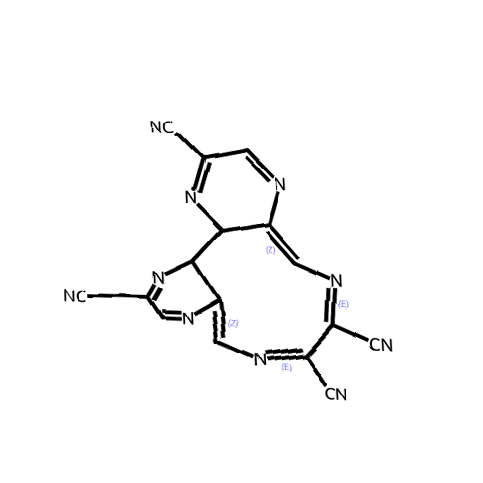 N#CC1=NC2/C(=C/N=C(C#N)\C(C#N)=N/C=C3\N=CC(C#N)=NC32)N=C1